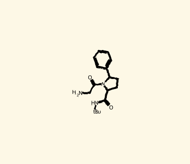 CC(C)(C)NC(=O)C1CCC(c2ccccc2)N1C(=O)CN